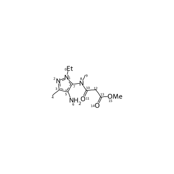 CCn1nc(C)c(N)c1N(C)C(=O)CC(=O)OC